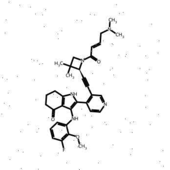 COc1c(F)cccc1Nc1c(-c2ccncc2C#C[C@@H]2N(C(=O)/C=C/CN(C)C)CC2(C)C)[nH]c2c1C(=O)CCC2